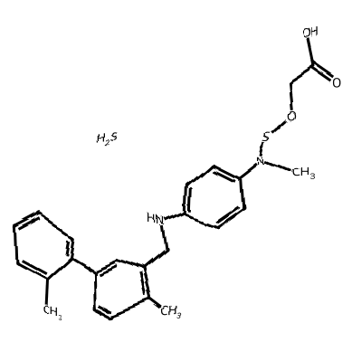 Cc1ccc(-c2ccccc2C)cc1CNc1ccc(N(C)SOCC(=O)O)cc1.S